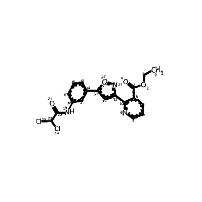 CCOC(=O)c1cccnc1-c1cc(-c2cccc(NC(=O)C(Cl)Cl)c2)on1